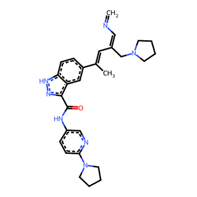 C=N/C=C(\C=C(/C)c1ccc2[nH]nc(C(=O)Nc3ccc(N4CCCC4)nc3)c2c1)CN1CCCC1